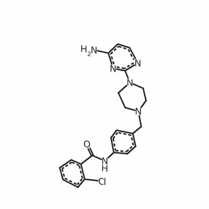 Nc1ccnc(N2CCN(Cc3ccc(NC(=O)c4ccccc4Cl)cc3)CC2)n1